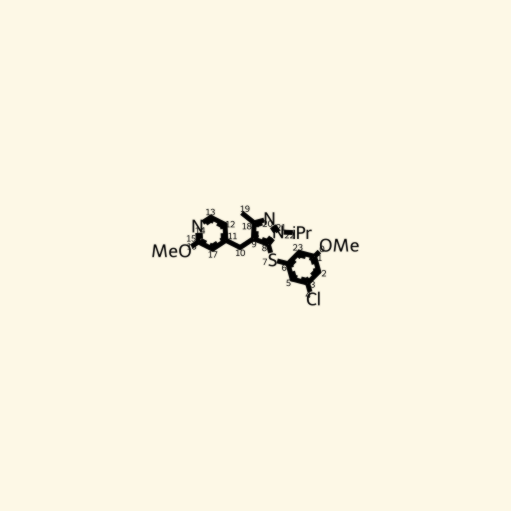 COc1cc(Cl)cc(Sc2c(Cc3ccnc(OC)c3)c(C)nn2C(C)C)c1